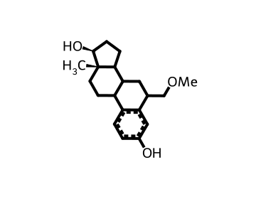 COCC1CC2C(CC[C@@]3(C)C2CC[C@@H]3O)c2ccc(O)cc21